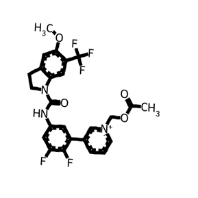 COc1cc2c(cc1C(F)(F)F)N(C(=O)Nc1cc(F)c(F)c(-c3ccc[n+](COC(C)=O)c3)c1)CC2